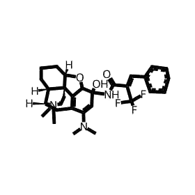 CN(C)C1=CC(O)(NC(=O)C(=Cc2ccccc2)C(F)(F)F)C2O[C@H]3CCC[C@H]4[C@H]5CC1=C2[C@@]34CC[N+]5(C)C